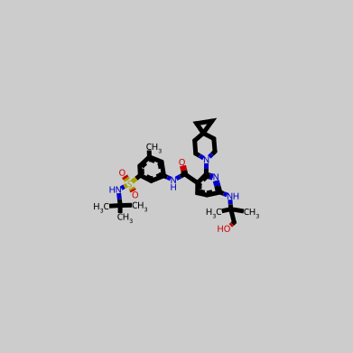 Cc1cc(NC(=O)c2ccc(NC(C)(C)CO)nc2N2CCC3(CC2)CC3)cc(S(=O)(=O)NC(C)(C)C)c1